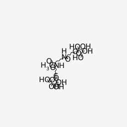 CC(C=O)C(CCCCNC(=O)CCCCOC1OC(CO)C(O)C(O)C1O)NC(=O)CCCCOC1OC(CO)C(O)C(O)C1O